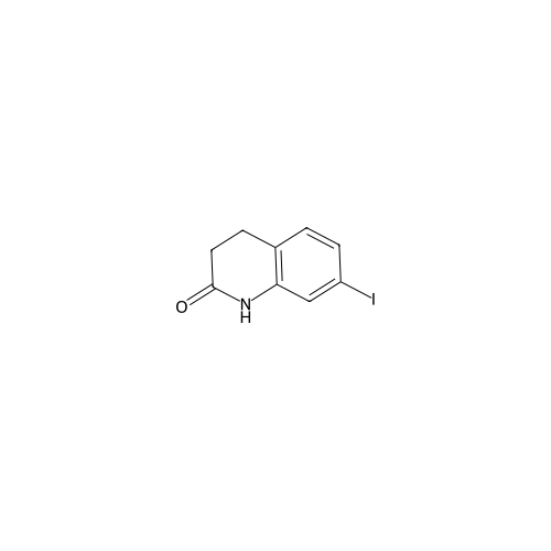 O=C1CCc2ccc(I)cc2N1